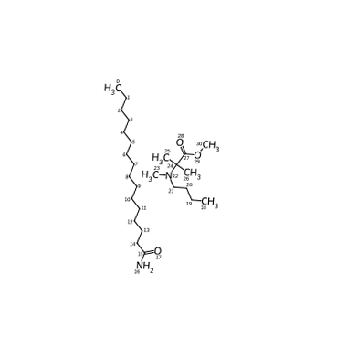 CCCCCCCCCCCCCCCC(N)=O.CCCCN(C)C(C)(C)C(=O)OC